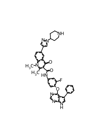 Cc1c(C(=O)Nc2ccc(Oc3ncnc4[nH]cc(-c5ccccc5)c34)c(F)c2)c(=O)c2cc(-c3cnn(C4CCNCC4)c3)ccc2n1C